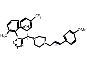 COc1ccc(/C=C/CN2CCN([C@H](c3nnnn3-c3c(C)cccc3C)C3C=C(C(F)(F)F)C=CC3)CC2)cc1